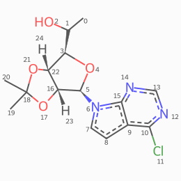 CC(O)[C@H]1O[C@@H](n2ccc3c(Cl)ncnc32)[C@@H]2OC(C)(C)O[C@@H]21